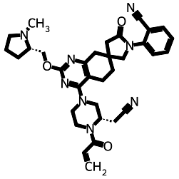 C=CC(=O)N1CCN(c2nc(OC[C@@H]3CCCN3C)nc3c2CCC2(CC(=O)N(c4ccccc4C#N)C2)C3)C[C@@H]1CC#N